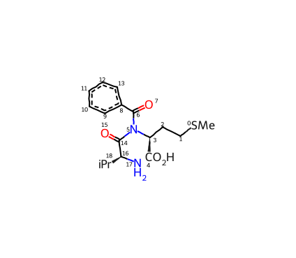 CSCC[C@@H](C(=O)O)N(C(=O)c1ccccc1)C(=O)[C@@H](N)C(C)C